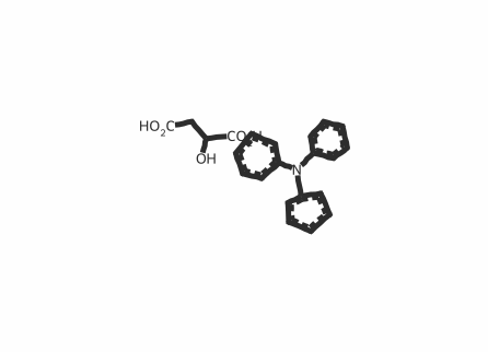 O=C(O)CC(O)C(=O)O.c1ccc(N(c2ccccc2)c2ccccc2)cc1